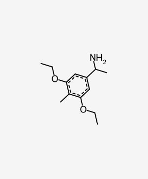 CCOc1cc(C(C)N)cc(OCC)c1C